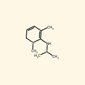 CC1=C(NN(C)C)N(C)CC=C1